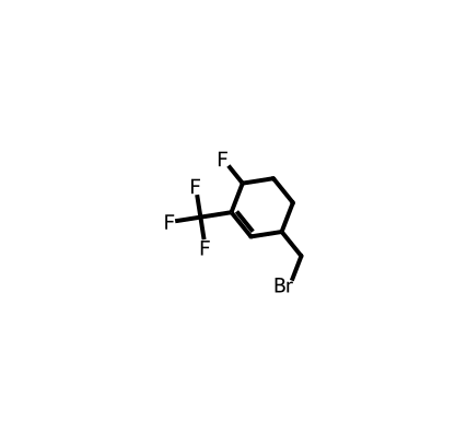 FC1CCC(CBr)C=C1C(F)(F)F